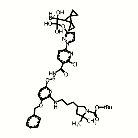 BC(O)(C1C2(CC2)C12CC2)C(O)(O)Oc1ccn(-c2ccc(C(=O)NSOc3ccc(OCc4ccccc4)c(NCCCC4CN(C(=O)OC(C)(C)C)C(C)(C)C4)n3)c(Cl)n2)n1